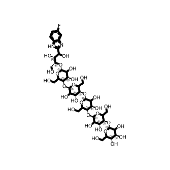 OCC1O[C@H](O[C@@H]2C(CO)O[C@H](O[C@@H]3C(CO)O[C@H](O[C@@H]4C(CO)O[C@H](O[C@@H]5C(CO)O[C@H](O[C@H](CO)[C@H](O)C(O)c6nc7cc(F)ccc7[nH]6)C(O)[C@H]5O)C(O)[C@H]4O)C(O)[C@H]3O)C(O)[C@H]2O)C(O)[C@@H](O)[C@@H]1O